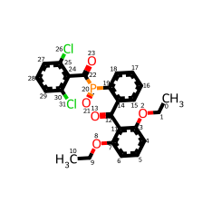 CCOc1cccc(OCC)c1C(=O)c1ccccc1[P](=O)C(=O)c1c(Cl)cccc1Cl